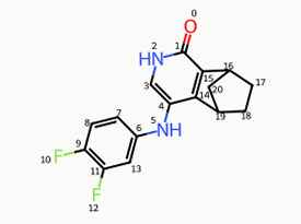 O=c1[nH]cc(Nc2ccc(F)c(F)c2)c2c1C1CCC2C1